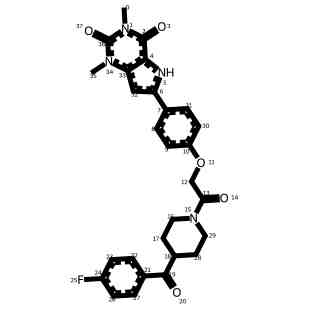 Cn1c(=O)c2[nH]c(-c3ccc(OCC(=O)N4CCC(C(=O)c5ccc(F)cc5)CC4)cc3)cc2n(C)c1=O